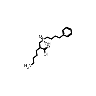 NCCCCC(CP(=O)(O)CCCCc1ccccc1)C(=O)O